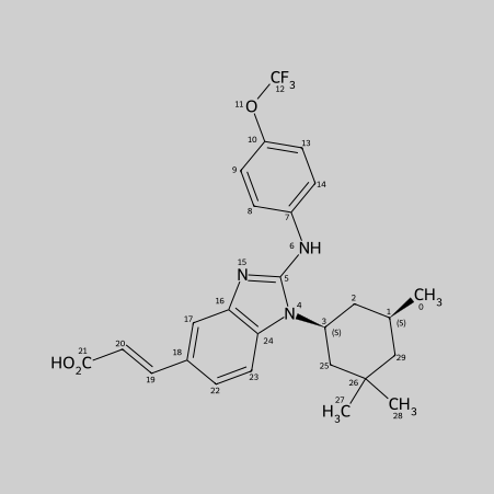 C[C@@H]1C[C@H](n2c(Nc3ccc(OC(F)(F)F)cc3)nc3cc(C=CC(=O)O)ccc32)CC(C)(C)C1